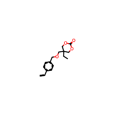 C=Cc1ccc(COCC2(CC)COC(=O)OC2)cc1